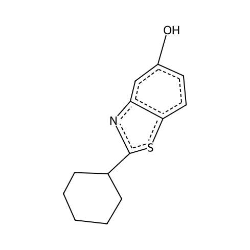 Oc1ccc2sc(C3CCCCC3)nc2c1